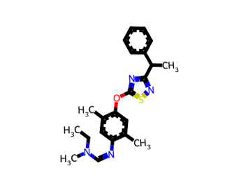 CCN(C)/C=N\c1cc(C)c(Oc2nc(C(C)c3ccccc3)ns2)cc1C